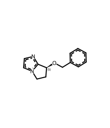 c1ccc(CO[C@H]2CCn3ccnc32)cc1